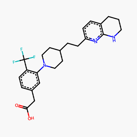 O=C(O)Cc1ccc(C(F)(F)F)c(N2CCC(CCc3ccc4c(n3)NCCC4)CC2)c1